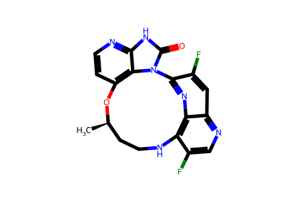 C[C@@H]1CCNc2c(F)cnc3cc(F)c(nc23)-n2c(=O)[nH]c3nccc(c32)O1